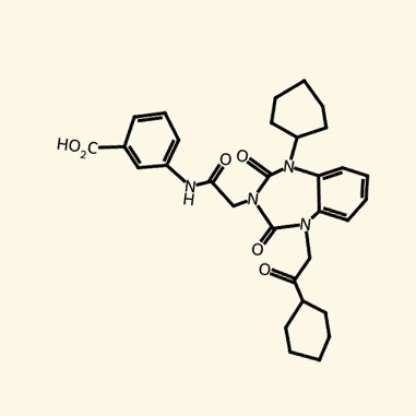 O=C(CN1C(=O)N(CC(=O)C2CCCCC2)c2ccccc2N(C2CCCCC2)C1=O)Nc1cccc(C(=O)O)c1